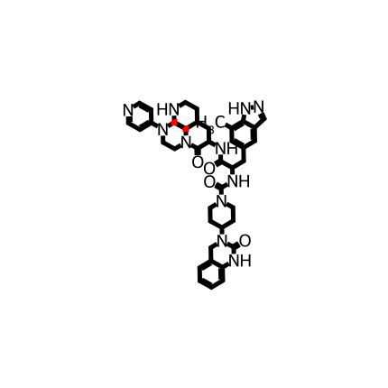 Cc1cc(CC(NC(=O)N2CCC(N3Cc4ccccc4NC3=O)CC2)C(=O)NC(CC2CCNCC2)C(=O)N2CCN(c3ccncc3)CC2)cc2cn[nH]c12